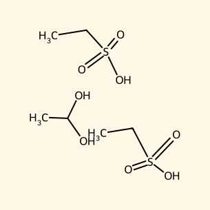 CC(O)O.CCS(=O)(=O)O.CCS(=O)(=O)O